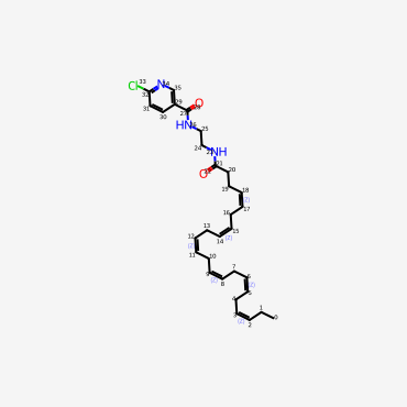 CC/C=C\C/C=C\C/C=C\C/C=C\C/C=C\C/C=C\CCC(=O)NCCNC(=O)c1ccc(Cl)nc1